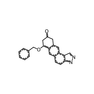 O=C1CC(OCc2ccccc2)=c2cc3ccc4c(c3cc2C1)C=NN=4